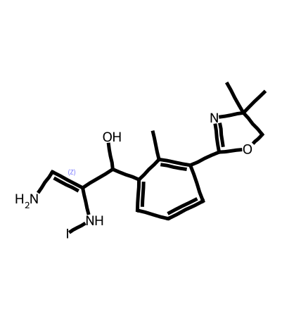 Cc1c(C2=NC(C)(C)CO2)cccc1C(O)/C(=C/N)NI